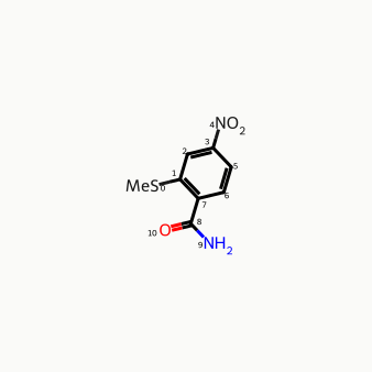 CSc1cc([N+](=O)[O-])ccc1C(N)=O